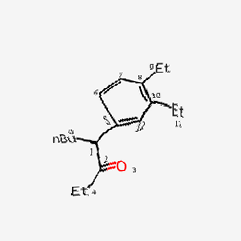 CCCCC(C(=O)CC)c1ccc(CC)c(CC)c1